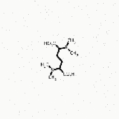 [CH3][Bi]([CH3])[CH](CC[CH](C(=O)O)[Bi]([CH3])[CH3])C(=O)O